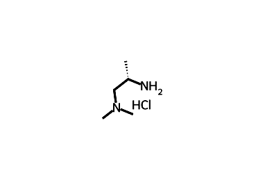 C[C@H](N)CN(C)C.Cl